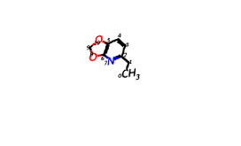 CCc1ccc2c(n1)OCO2